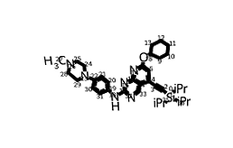 CC(C)[Si](C#Cc1cc(OC2CCCCC2)nc2nc(Nc3ccc(N4CCN(C)CC4)cc3)ncc12)(C(C)C)C(C)C